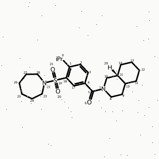 CC(C)c1ccc(C(=O)N2CCC3CCCC[C@H]3C2)cc1S(=O)(=O)N1CCCCCC1